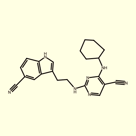 N#Cc1ccc2[nH]cc(CCNc3ncc(C#N)c(NC4CCCCC4)n3)c2c1